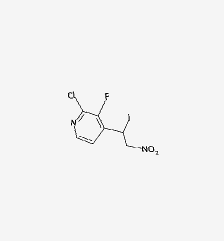 O=[N+]([O-])CC(I)c1ccnc(Cl)c1F